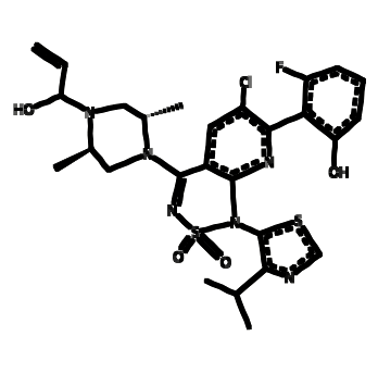 C=CC(O)N1C[C@H](C)N(C2=NS(=O)(=O)N(c3scnc3C(C)C)c3nc(-c4c(O)cccc4F)c(Cl)cc32)C[C@H]1C